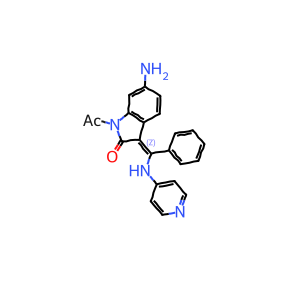 CC(=O)N1C(=O)/C(=C(\Nc2ccncc2)c2ccccc2)c2ccc(N)cc21